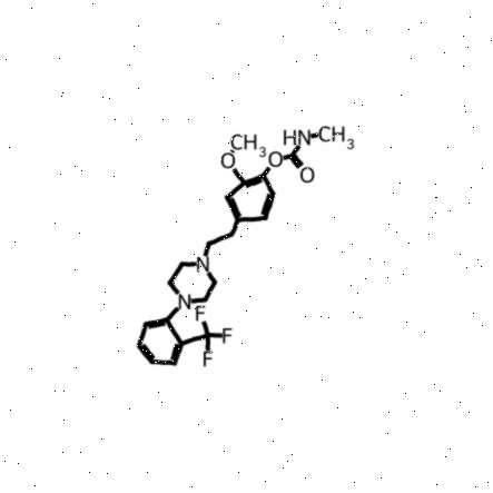 CNC(=O)Oc1ccc(CCN2CCN(c3ccccc3C(F)(F)F)CC2)cc1OC